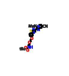 CNc1c(-c2cn3c(n2)sc2ccc(OCCOCCNC(=O)OC(C)(C)C)cc23)nc2cc(C#N)ccn12